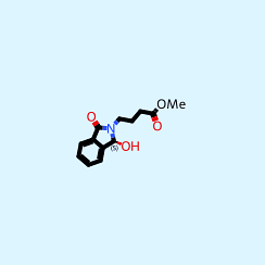 COC(=O)CCCN1C(=O)c2ccccc2[C@@H]1O